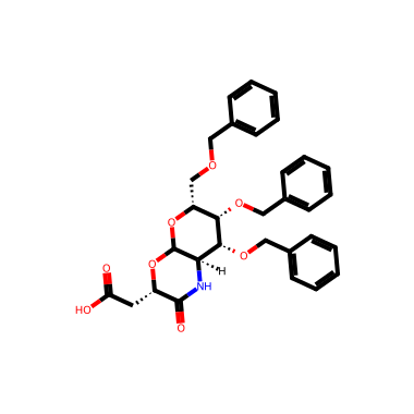 O=C(O)C[C@@H]1OC2O[C@H](COCc3ccccc3)[C@H](OCc3ccccc3)[C@H](OCc3ccccc3)[C@H]2NC1=O